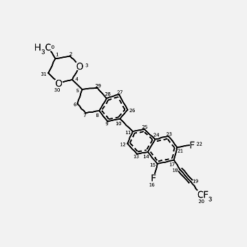 CC1COC(C2CCc3cc(-c4ccc5c(F)c(C#CC(F)(F)F)c(F)cc5c4)ccc3C2)OC1